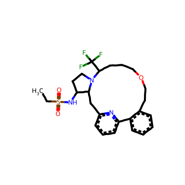 CCS(=O)(=O)NC1CCN2C1Cc1cccc(n1)-c1ccccc1CCOCCCC2C(F)(F)F